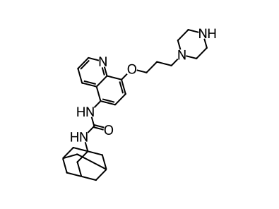 O=C(Nc1ccc(OCCCN2CCNCC2)c2ncccc12)NC12CC3CC(CC(C3)C1)C2